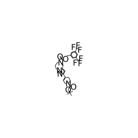 CC(C)(C)OC(=O)N1CC=C(c2cc3n(n2)CCCN(C(=O)OCc2cc(C(F)(F)F)cc(C(F)(F)F)c2)C3)CC1